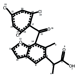 Cc1c(C(C)C(=O)O)cc2ccoc2c1C(=O)c1c(Cl)cc(Cl)cc1Cl